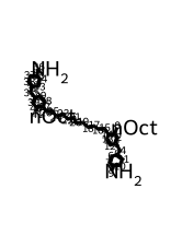 CCCCCCCCc1cc(Cc2ccc(N)cc2)ccc1CCCCCCCCCCCCc1ccc(Cc2ccc(N)cc2)cc1CCCCCCCC